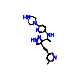 C=C(Nc1ccc(N2CCNCC2)nc1)c1n[nH]cc1C#Cc1cncc(C)c1